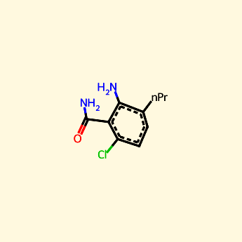 CCCc1ccc(Cl)c(C(N)=O)c1N